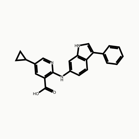 O=C(O)c1cc(C2CC2)cnc1Nc1ccc2c(-c3ccccc3)c[nH]c2c1